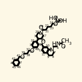 CC(=O)NCCN1CCCc2ccc(COC3CN(C(=O)CCCCON(O)O)CCC3c3ccc(OCCCOCc4ccccc4)cc3)cc21